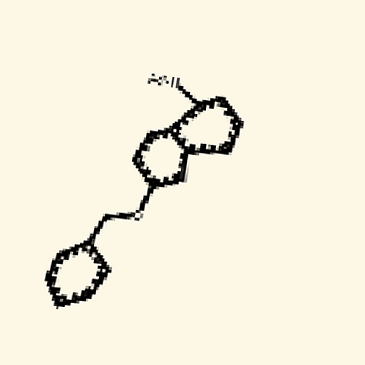 CC(=O)Nc1cccc2cc(OCc3ccccc3)ccc12